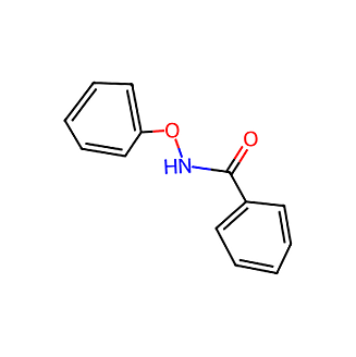 O=C(NOc1ccccc1)c1ccccc1